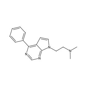 CN(C)CCn1ccc2c(-c3ccccc3)ncnc21